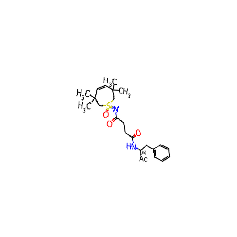 CC(=O)[C@H](Cc1ccccc1)NC(=O)CCC(=O)N=S1(=O)CC(C)(C)C=CC(C)(C)C1